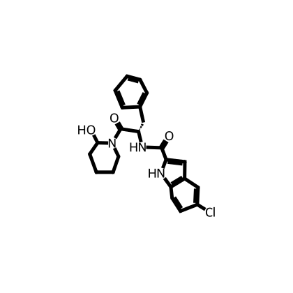 O=C(N[C@@H](Cc1ccccc1)C(=O)N1CCCCC1O)c1cc2cc(Cl)ccc2[nH]1